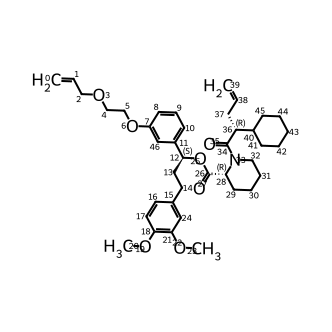 C=CCOCCOc1cccc([C@H](CCc2ccc(OC)c(OC)c2)OC(=O)[C@H]2CCCCN2C(=O)[C@H](CC=C)C2CCCCC2)c1